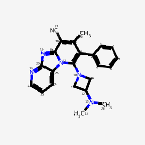 Cc1c(-c2ccccc2)c(N2CC(N(C)C)C2)n2c(nc3ncccc32)c1C#N